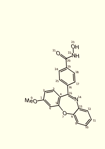 COc1ccc2c(c1)Oc1ccccc1N=C2c1ccc(C(=O)NO)cc1